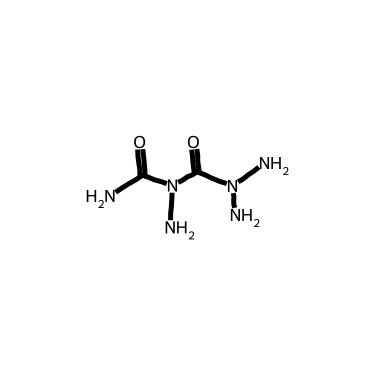 NC(=O)N(N)C(=O)N(N)N